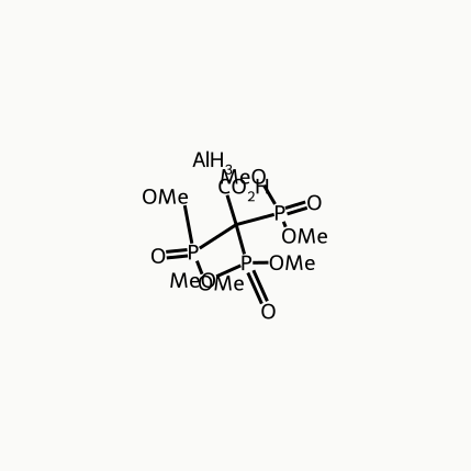 COP(=O)(OC)C(C(=O)O)(P(=O)(OC)OC)P(=O)(OC)OC.[AlH3]